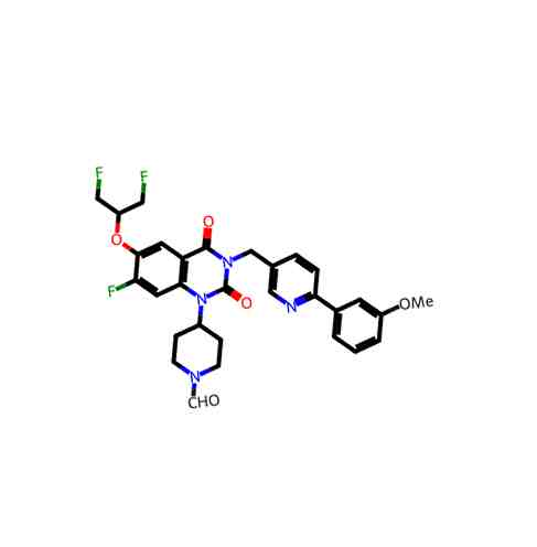 COc1cccc(-c2ccc(Cn3c(=O)c4cc(OC(CF)CF)c(F)cc4n(C4CCN(C=O)CC4)c3=O)cn2)c1